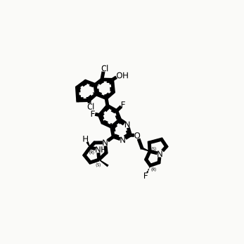 C[C@]12CC[C@H](CN(c3nc(OC[C@@]45CCCN4C[C@H](F)C5)nc4c(F)c(-c5cc(O)c(Cl)c6cccc(Cl)c56)c(F)cc34)C1)N2